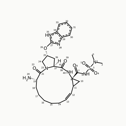 CN(C)S(=O)(=O)NC(=O)[C@@]12CC1/C=C\CCCCC[C@H](N)C(=O)N1C[C@H](Oc3nc4ccccc4[nH]3)C[C@H]1C(=O)N2